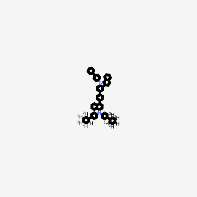 [2H]c1c([2H])c([2H])c(-c2ccc(N(c3ccc(-c4c([2H])c([2H])c([2H])c([2H])c4[2H])cc3)c3ccc(-c4ccc(-c5ccc6c(c5)c5ccc7ccccc7c5n6-c5ccc(-c6ccccc6)cc5)cc4)c4ccccc34)cc2)c([2H])c1[2H]